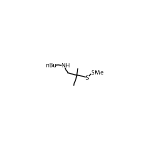 CCCCNCC(C)(C)SSC